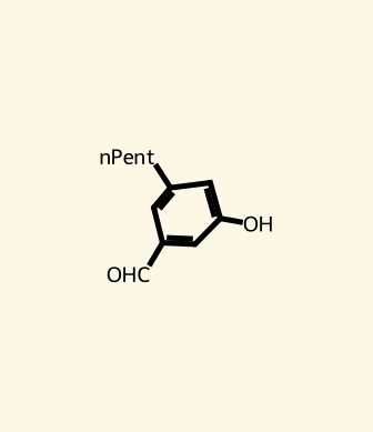 CCCCCc1cc(O)cc(C=O)c1